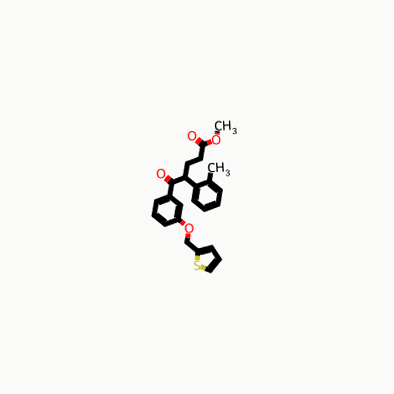 COC(=O)CCC(C(=O)c1cccc(OCc2cccs2)c1)c1ccccc1C